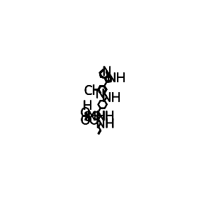 C=CCNC(=O)NC(CN[SH](=O)=O)C1CCC(Nc2cc(-c3c[nH]c4ncccc34)cc(Cl)n2)CC1